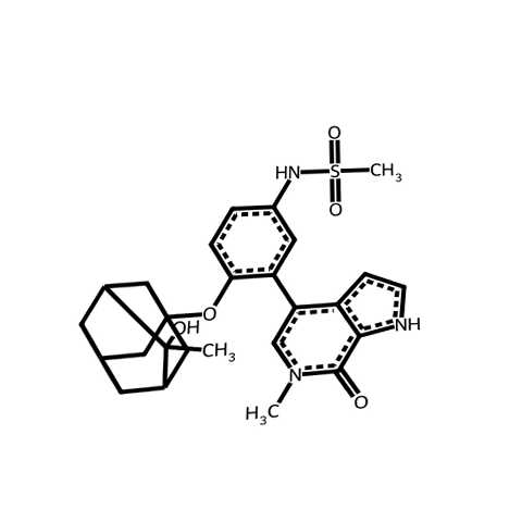 Cn1cc(-c2cc(NS(C)(=O)=O)ccc2OC23CC4CC(C2)C(C)(O)C(C4)C3)c2cc[nH]c2c1=O